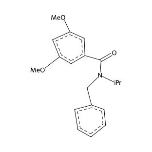 COc1cc(OC)cc(C(=O)N(Cc2ccccc2)C(C)C)c1